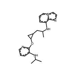 CC(C)Nc1cccnc1OC1CC1CC(C)Nc1cccn2ccnc12